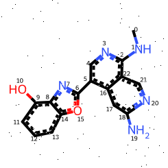 CNc1ncc(-c2nc3c(O)cccc3o2)c2cc(N)ncc12